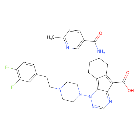 Cc1ccc(C(N)=O)cn1.O=C(O)c1c2ncnn(N3CCN(CCc4ccc(F)c(F)c4)CC3)c-2c2c1CCCC2